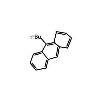 CCC[CH]c1c2ccccc2cc2ccccc12